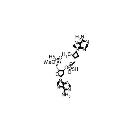 COP(=O)(S)OC[C@H]1O[C@@H](n2cnc3c(N)ncnc32)C[C@@H]1OP(=O)(S)OC[C@H]1C[C@@H](n2cnc3c(N)ncnc32)[C@@H]1C